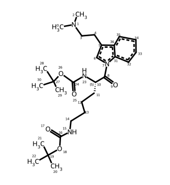 CN(C)CCc1cn(C(=O)[C@H](CCCCNC(=O)OC(C)(C)C)NC(=O)OC(C)(C)C)c2ccccc12